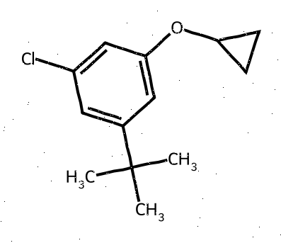 CC(C)(C)c1cc(Cl)cc(OC2CC2)c1